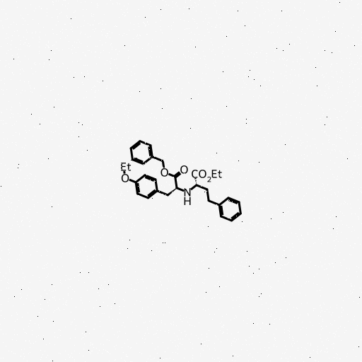 CCOC(=O)[C@H](CCc1ccccc1)N[C@@H](Cc1ccc(OCC)cc1)C(=O)OCc1ccccc1